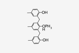 Cc1ccc(O)c(Cc2cc(C)cc(Cc3cc(C)ccc3O)c2O)c1.P